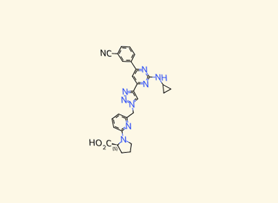 N#Cc1cccc(-c2cc(-c3cn(Cc4cccc(N5CCC[C@H]5C(=O)O)n4)nn3)nc(NC3CC3)n2)c1